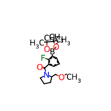 CCOCC1CCCN1C(=O)c1cccc(B2OC(C)(C)C(C)(C)O2)c1F